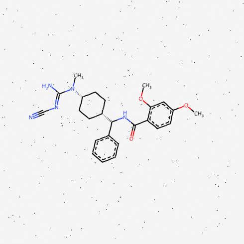 COc1ccc(C(=O)NC(c2ccccc2)[C@H]2CC[C@@H](N(C)C(N)=NC#N)CC2)c(OC)c1